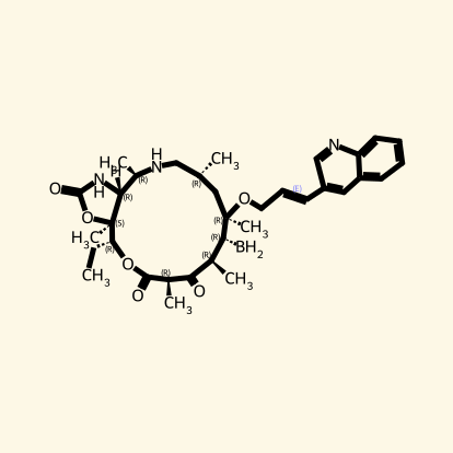 B[C@@H]1[C@@H](C)C(=O)[C@@H](C)C(=O)O[C@H](CC)[C@@]2(C)OC(=O)N[C@@H]2[C@@H](C)NC[C@H](C)C[C@@]1(C)OC/C=C/c1cnc2ccccc2c1